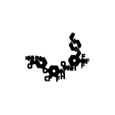 CCN1CCN(Cc2ccc(NC(=O)Nc3ccc(Oc4ccnc(C(=O)NC)c4)c(Cl)c3F)cc2C(F)(F)F)CC1